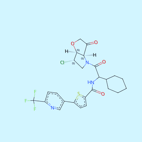 O=C(NC(C(=O)N1C[C@H](Cl)[C@H]2OCC(=O)[C@H]21)C1CCCCC1)c1ccc(-c2ccc(C(F)(F)F)nc2)s1